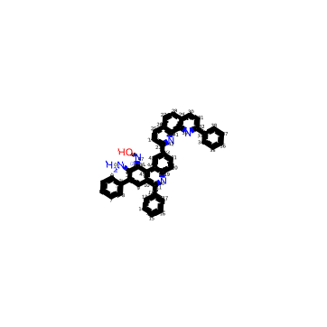 NC1C(c2ccccc2)=Cc2c(-c3ccccc3)nc3ccc(-c4ccc5ccc6ccc(-c7ccccc7)nc6c5n4)cc3c2/C1=N/O